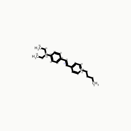 CCCC[n+]1ccc(/C=C/c2ccc(N(CC)CC)cc2)cc1